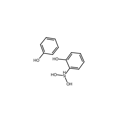 Oc1ccccc1.Oc1ccccc1[SiH](O)O